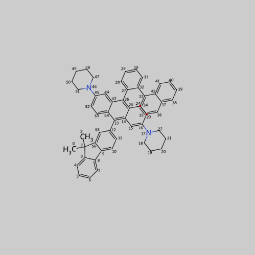 CC1(C)c2ccccc2-c2ccc(-c3c4cc(N5CCCCC5)ccc4c(-c4ccccc4-c4cccc5ccccc45)c4cc(N5CCCCC5)ccc34)cc21